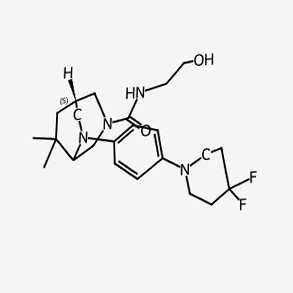 CC1(C)C[C@@H]2CN(C(=O)NCCO)CC1N(c1ccc(N3CCC(F)(F)CC3)cc1)C2